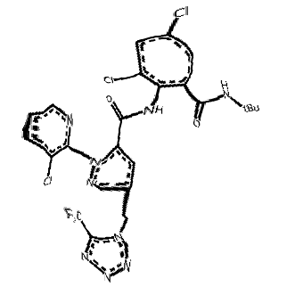 CC(C)(C)NC(=O)c1cc(Cl)cc(Cl)c1NC(=O)c1cc(Cn2nnnc2C(F)(F)F)nn1-c1ncccc1Cl